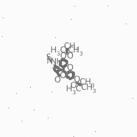 CC(C)(C)C(=O)Oc1ccc2c(c1)Oc1cc(OC(=O)C(C)(C)C)ccc1C21OC(=O)c2ccc(NN=S)cc21